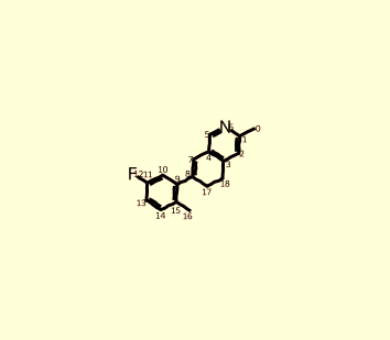 Cc1cc2c(cn1)C=C(c1cc(F)ccc1C)CC2